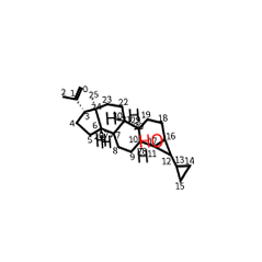 C=C(C)[C@H]1CC[C@H]2[C@@H]3CC[C@@H]4C5C(C6CC6)[C@@]5(O)CC[C@@H]4[C@H]3CC[C@]12C